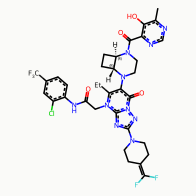 CCc1c(N2CCN(C(=O)c3ncnc(C)c3O)[C@@H]3CC[C@H]32)c(=O)n2nc(N3CCC(=C(F)F)CC3)nc2n1CC(=O)Nc1ccc(C(F)(F)F)cc1Cl